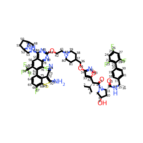 CC(C)[C@@H](C(=O)N1C[C@H](O)C[C@H]1C(=O)N[C@@H](C)c1ccc(-c2c(F)cc(F)cc2F)cc1)c1cc(OCC2CCN(CCOc3nc(N4CC5CCC(C4)N5)c4cc(C(F)(F)F)c(-c5ccc(F)c6sc(N)c(C#N)c56)c(F)c4n3)CC2)no1